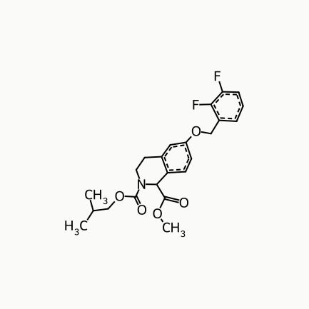 COC(=O)C1c2ccc(OCc3cccc(F)c3F)cc2CCN1C(=O)OCC(C)C